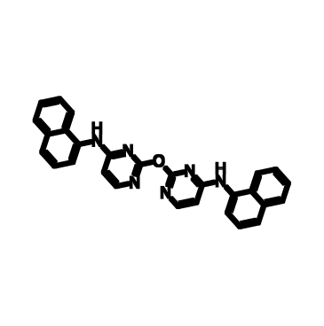 c1ccc2c(Nc3ccnc(Oc4nccc(Nc5cccc6ccccc56)n4)n3)cccc2c1